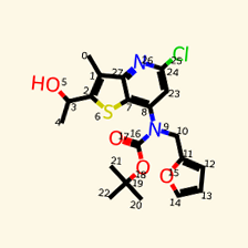 Cc1c(C(C)O)sc2c(N(Cc3ccco3)C(=O)OC(C)(C)C)cc(Cl)nc12